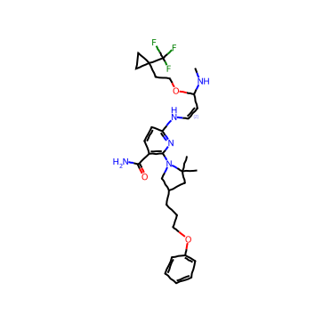 CNC(/C=C\Nc1ccc(C(N)=O)c(N2CC(CCCOc3ccccc3)CC2(C)C)n1)OCCC1(C(F)(F)F)CC1